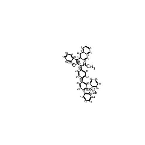 CN1c2cc3ccccc3cc2-c2c(oc3ccccc23)C1c1ccc(-c2cccc(P(=O)(c3ccccc3)c3ccccc3)c2)cc1